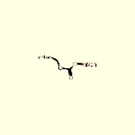 CCCCCCCCCCOC(=O)OCCCCCCCCC